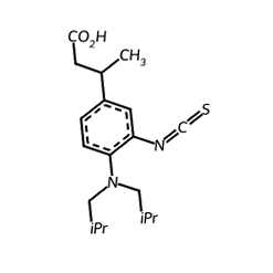 CC(C)CN(CC(C)C)c1ccc(C(C)CC(=O)O)cc1N=C=S